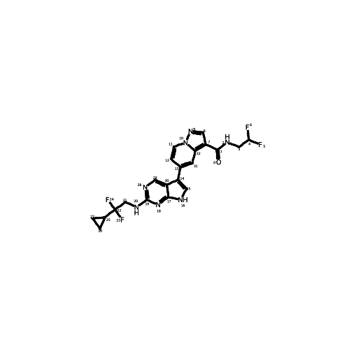 O=C(NCC(F)F)c1cnn2ccc(-c3c[nH]c4nc(NCC(F)(F)C5CC5)ncc34)cc12